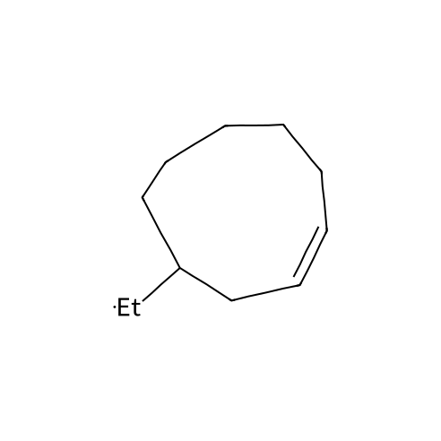 C[CH]C1C/C=C\CCCCC1